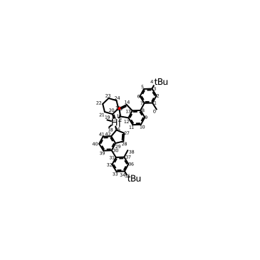 Cc1cc(C(C)(C)C)ccc1-c1cccc2c1C=C[CH]2[Hf]([CH3])([CH3])(=[C]1CCCCC1)[CH]1C=Cc2c(-c3ccc(C(C)(C)C)cc3C)cccc21